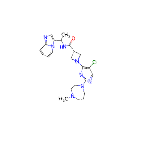 CC(NC(=O)C1CN(c2nc(N3CCCN(C)CC3)ncc2Cl)C1)c1cnc2ccccn12